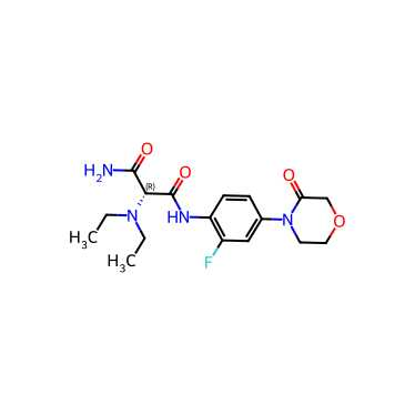 CCN(CC)[C@H](C(N)=O)C(=O)Nc1ccc(N2CCOCC2=O)cc1F